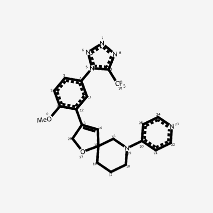 COc1ccc(-n2nnnc2C(F)(F)F)cc1C1=CC2(CCCN(c3ccncc3)C2)OC1